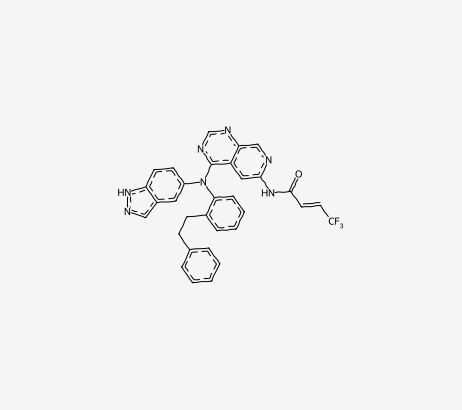 O=C(C=CC(F)(F)F)Nc1cc2c(N(c3ccc4[nH]ncc4c3)c3ccccc3CCc3ccccc3)ncnc2cn1